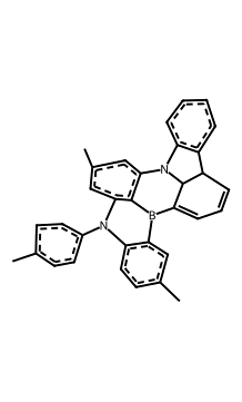 Cc1ccc(N2c3ccc(C)cc3B3C4=CC=CC5c6ccccc6N(c6cc(C)cc2c63)C45)cc1